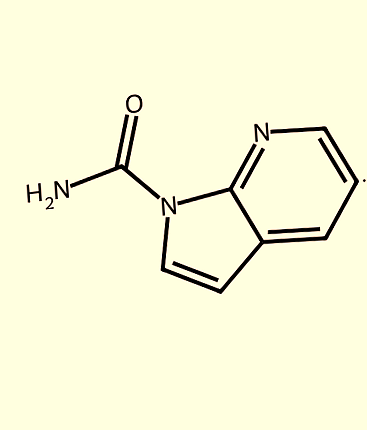 NC(=O)n1ccc2c[c]cnc21